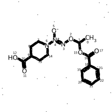 CC(O/N=[N+](\[O-])N1CCC(C(=O)O)CC1)OC(=O)c1ccccc1